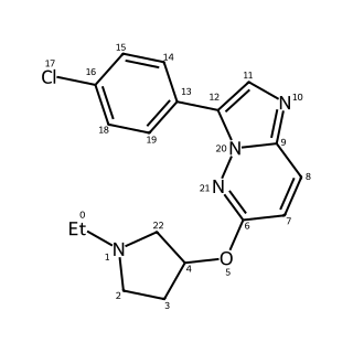 CCN1CCC(Oc2ccc3ncc(-c4ccc(Cl)cc4)n3n2)C1